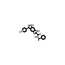 CC(NC(=O)c1nc2cc3c(-c4cc[n+]([O-])cc4)n[nH]c3cc2[nH]1)c1ccccc1